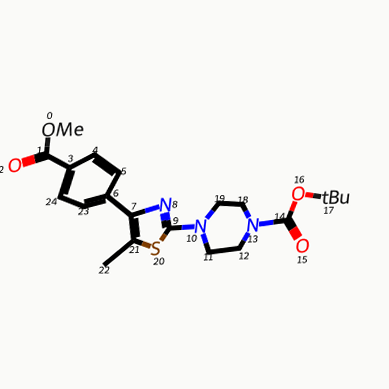 COC(=O)c1ccc(-c2nc(N3CCN(C(=O)OC(C)(C)C)CC3)sc2C)cc1